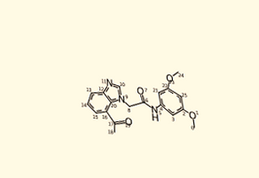 COc1cc(NC(=O)Cn2cnc3cccc(C(C)=O)c32)cc(OC)c1